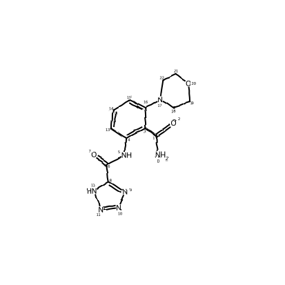 NC(=O)c1c(NC(=O)c2nnn[nH]2)cccc1N1CCOCC1